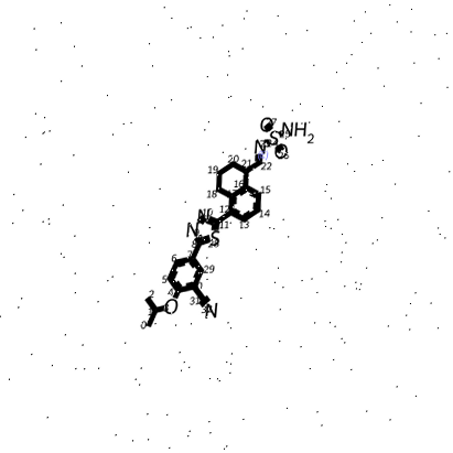 CC(C)Oc1ccc(-c2nnc(-c3cccc4c3CCCC4/C=N/S(N)(=O)=O)s2)cc1C#N